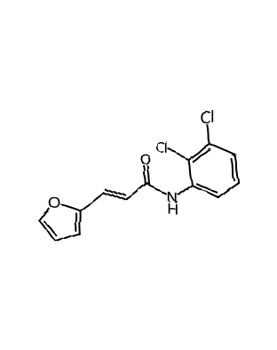 O=C(C=Cc1ccco1)Nc1cccc(Cl)c1Cl